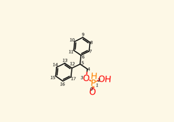 O=[PH](O)OCC(c1ccccc1)c1ccccc1